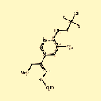 COC/C(=N\NC=O)c1ccc(NCC(C)(C)O)c(C(F)(F)F)c1